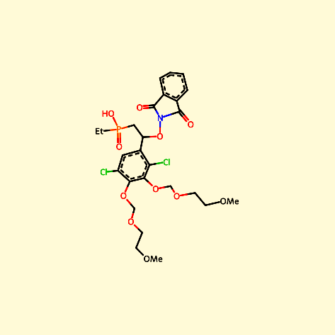 CCP(=O)(O)CC(ON1C(=O)c2ccccc2C1=O)c1cc(Cl)c(OCOCCOC)c(OCOCCOC)c1Cl